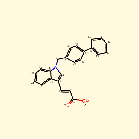 O=C(O)C=Cc1cn(Cc2ccc(-c3ccccc3)cc2)c2ccccc12